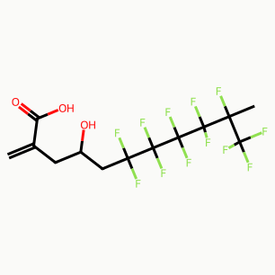 C=C(CC(O)CC(F)(F)C(F)(F)C(F)(F)C(F)(F)C(C)(F)C(F)(F)F)C(=O)O